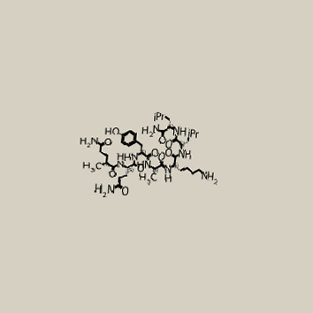 CC(C)C[C@H](NC(=O)[C@H](CC(C)C)NC(=O)[C@H](CCCCN)NC(=O)[C@H](C)NC(=O)[C@H](Cc1ccc(O)cc1)NC(=O)[C@H](CCC(N)=O)NC(=O)[C@@H](C)CCC(N)=O)C(N)=O